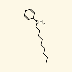 CCCCCCCCC[SiH2]C1C=CCC=C1